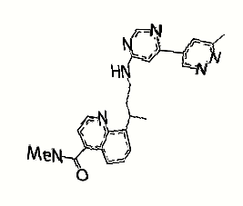 CNC(=O)c1ccnc2c(C(C)CCNc3cc(-c4cnnc(C)c4)ncn3)cccc12